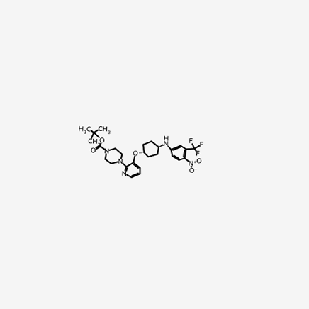 CC(C)(C)OC(=O)N1CCN(c2ncccc2O[C@H]2CC[C@H](Nc3ccc([N+](=O)[O-])c(C(F)(F)F)c3)CC2)CC1